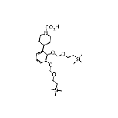 C[Si](C)(C)CCOCOc1cccc(C2CCN(C(=O)O)CC2)c1OCOCC[Si](C)(C)C